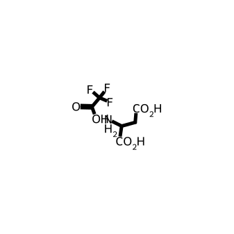 NC(CC(=O)O)C(=O)O.O=C(O)C(F)(F)F